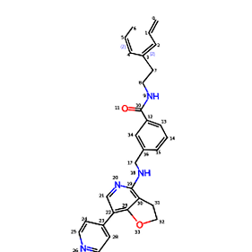 C=C/C=C(\C=C/C)CCNC(=O)c1cccc(CNc2ncc(-c3ccncc3)c3c2CCO3)c1